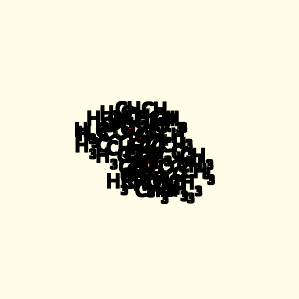 COC(=O)COc1c(Cl)ccc(P(c2cc(C(C)(C)C)c(OC)c(C(C)(C)C)c2)c2cc(C(C)(C)C)c(OC)c(C(C)(C)C)c2)c1-c1c(P(c2cc(C(C)(C)C)c(OC)c(C(C)(C)C)c2)c2cc(C(C)(C)C)c(OC)c(C(C)(C)C)c2)ccc(Cl)c1OCC(=O)OC